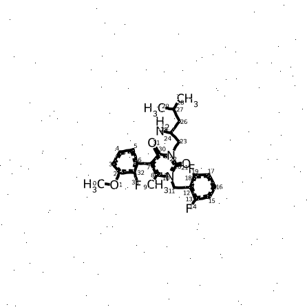 COc1cccc(-c2c(C)n(Cc3c(F)cccc3F)c(=O)n(CC(N)CC(C)C)c2=O)c1F